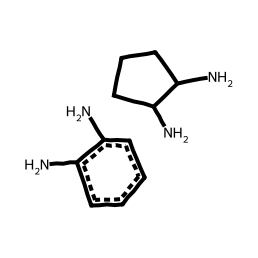 NC1CCCC1N.Nc1ccccc1N